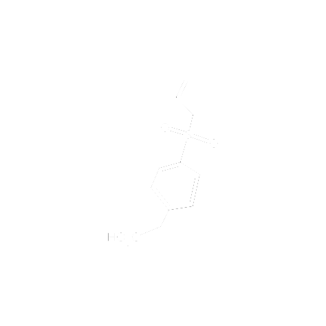 C=CCS(=O)(=O)c1ccc(CC(=O)O)cc1